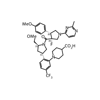 COC[C@@H]1C[C@@H](c2ccc(C(F)(F)F)cc2N2CCC(C(=O)O)CC2)CN1C(=O)[C@]1(F)CN(c2ccnc(C)n2)C[C@H]1c1ccc(OC)cc1